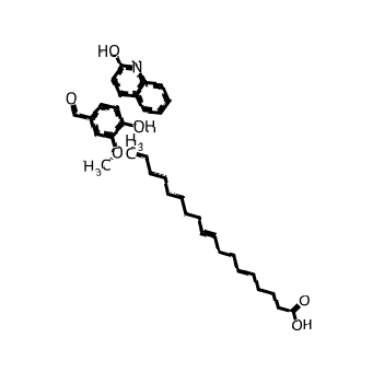 CCCCCCCCC=CCCCCCCCC(=O)O.COc1cc(C=O)ccc1O.Oc1ccc2ccccc2n1